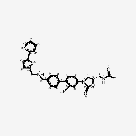 CC(=O)NC[C@H]1CN(c2ccc(-c3ccc(CNCc4ccc(-c5ccccn5)s4)cc3)c(F)c2)C(=O)O1